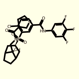 O=C(Nc1cc(F)c(F)c(F)c1)c1ccc(Cl)c(S(=O)(=O)[C@H]2CC3CCC(C2)[C@]3(O)CNC(=O)C2CCOC2)c1